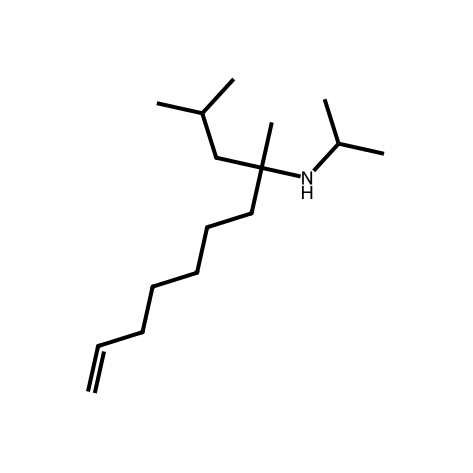 C=CCCCCCC(C)(CC(C)C)NC(C)C